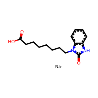 O=C(O)CCCCCCCn1c(=O)[nH]c2ccccc21.[Na]